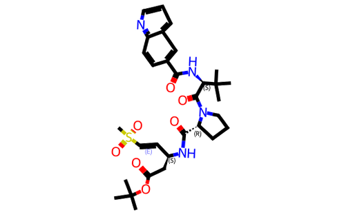 CC(C)(C)OC(=O)C[C@@H](/C=C/S(C)(=O)=O)NC(=O)[C@H]1CCCN1C(=O)[C@@H](NC(=O)c1ccc2ncccc2c1)C(C)(C)C